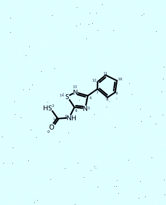 O=C(S)Nc1nc(-c2ccccc2)ns1